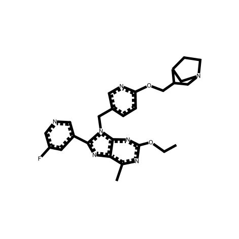 CCOc1nc(C)c2nc(-c3cncc(F)c3)n(Cc3ccc(OCC4CN5CCC4C5)nc3)c2n1